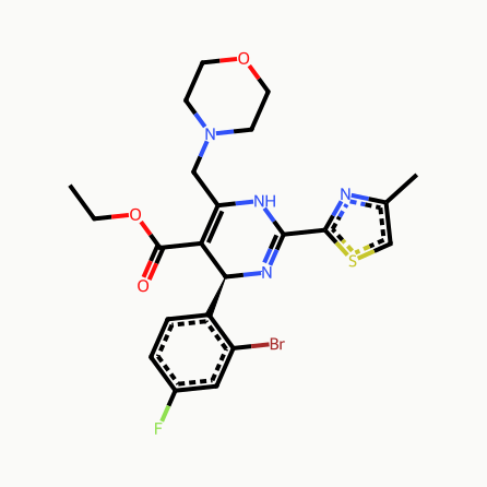 CCOC(=O)C1=C(CN2CCOCC2)NC(c2nc(C)cs2)=N[C@H]1c1ccc(F)cc1Br